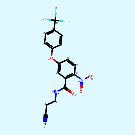 N#CCCNC(=O)c1cc(Oc2ccc(C(F)(F)F)cc2)ccc1[N+](=O)[O-]